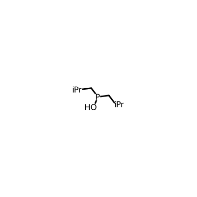 CC(C)CP(O)CC(C)C